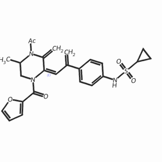 C=C(/C=C1\C(=C)N(C(C)=O)C(C)CN1C(=O)c1ccco1)c1ccc(NS(=O)(=O)C2CC2)cc1